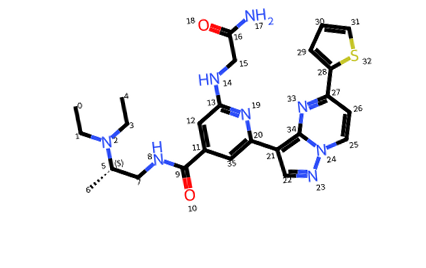 CCN(CC)[C@@H](C)CNC(=O)c1cc(NCC(N)=O)nc(-c2cnn3ccc(-c4cccs4)nc23)c1